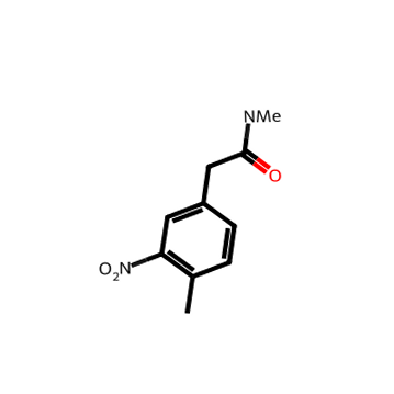 CNC(=O)Cc1ccc(C)c([N+](=O)[O-])c1